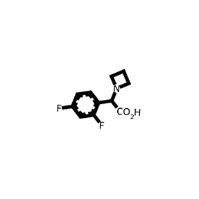 O=C(O)C(c1ccc(F)cc1F)N1CCC1